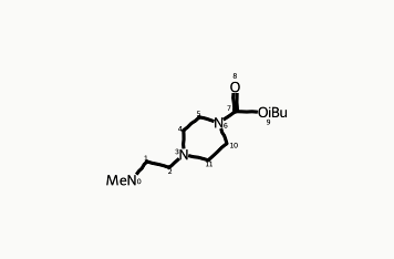 CNCCN1CCN(C(=O)OCC(C)C)CC1